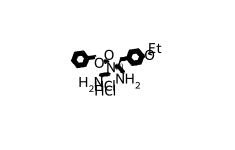 CCOc1ccc(C[C@@H](CN)N(CCN)C(=O)OCc2ccccc2)cc1.Cl.Cl